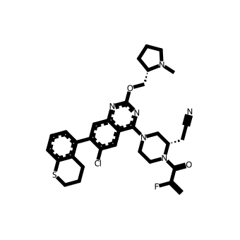 C=C(F)C(=O)N1CCN(c2nc(OC[C@@H]3CCCN3C)nc3cc(-c4cccc5c4CCCS5)c(Cl)cc23)C[C@@H]1CC#N